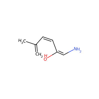 C=C(C)/C=C\C(O)=C/N